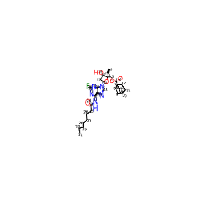 C#C[C@]1(COC(=O)C23CCC(CC2)CC3)O[C@@H](n2cnc3c(NC(=O)CCCCCCC)nc(F)nc32)C[C@@H]1O